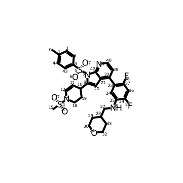 Cc1ccc(S(=O)(=O)n2c(C3C=CN(S(C)(=O)=O)CC3)cc3c(-c4cc(NCC5CCOCC5)c(F)cc4F)ccnc32)cc1